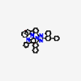 C1#CCC(n2c3ccccc3c3cccc(-n4c5c(c6cccc(-c7nc(-c8ccc9ccccc9c8)nc(-c8ccc(-c9ccccc9)c9ccccc89)n7)c64)C=CCC5)c32)=CC=C1